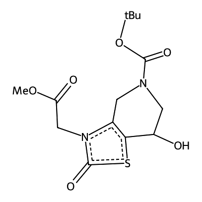 COC(=O)Cn1c2c(sc1=O)C(O)CN(C(=O)OC(C)(C)C)C2